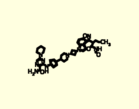 CCCC(C(=O)NC=O)c1noc2ccc3c(ccn3[C@H]3C[C@@H](N4CCC(c5ccc(Nc6nc(N7CCCCC7)cnc6C(N)=O)cc5)CC4)C3)c12